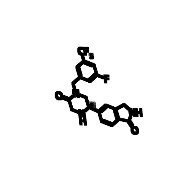 O=C1NCc2cc([C@@H]3CN(Cc4cc(F)cc(C(F)(F)F)c4)C(=O)CN3)ccc21